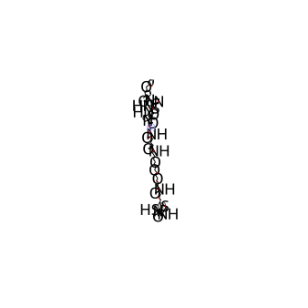 Cc1cc(Oc2ccccc2)ccc1N1C(=O)Nc2c(C(=O)NC3CCCN(C(=O)/C=C/CNC(=O)CCCC(=O)NCCCOCCOCCOCCCNC(=O)CCCC[C@H]4SCC5NC(=O)N(S)C54)C3)sc3nccc1c23